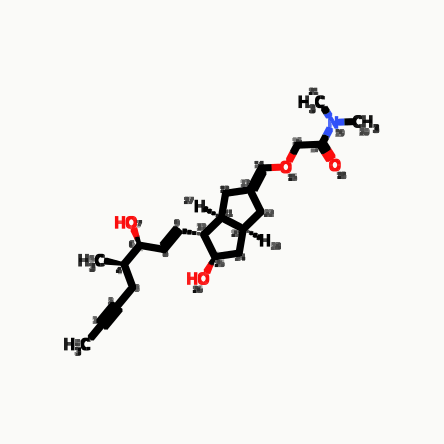 CC#CC[C@@H](C)[C@@H](O)/C=C/[C@@H]1[C@H]2CC(=COCC(=O)N(C)C)C[C@H]2C[C@H]1O